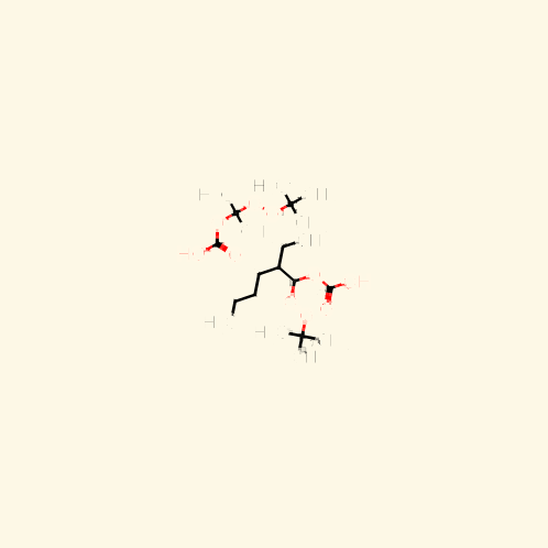 CC(C)(C)OOC(C)(C)OC(=O)O.CCCCC(CC)C(OOC(C)(C)C)OC(=O)O